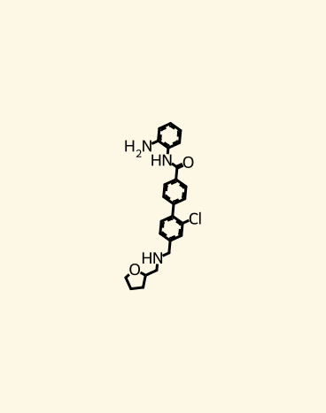 Nc1ccccc1NC(=O)c1ccc(-c2ccc(CNCC3CCCO3)cc2Cl)cc1